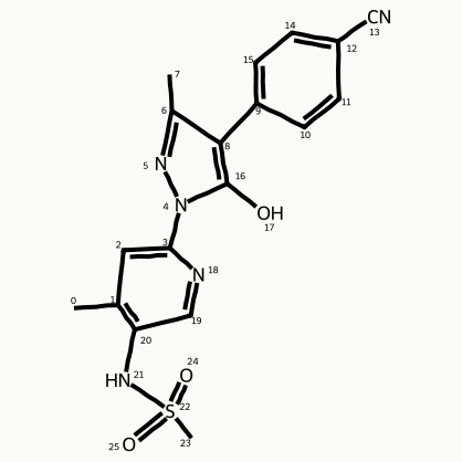 Cc1cc(-n2nc(C)c(-c3ccc(C#N)cc3)c2O)ncc1NS(C)(=O)=O